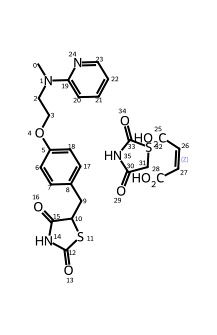 CN(CCOc1ccc(CC2SC(=O)NC2=O)cc1)c1ccccn1.O=C(O)/C=C\C(=O)O.O=C1CSC(=O)N1